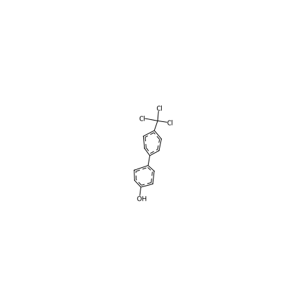 Oc1ccc(-c2ccc(C(Cl)(Cl)Cl)cc2)cc1